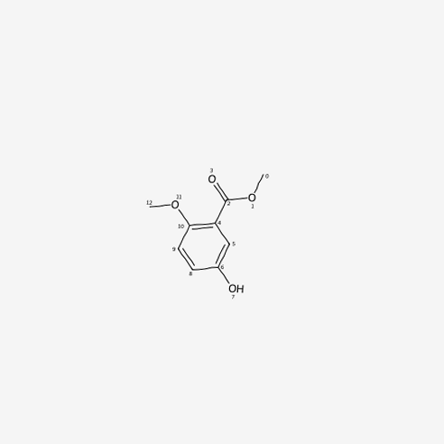 COC(=O)c1cc(O)ccc1OC